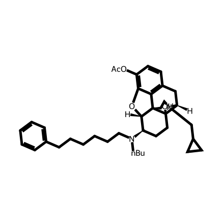 CCCCN(CCCCCCc1ccccc1)[C@@H]1CC[C@@]2(O)[C@H]3Cc4ccc(OC(C)=O)c5c4[C@@]2(CCN3CC2CC2)[C@H]1O5